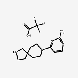 FC(F)(F)c1nccc(N2CCC3(CCNC3)CC2)n1.O=C(O)C(F)(F)F